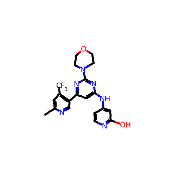 Cc1cc(C(F)(F)F)c(-c2cc(Nc3ccnc(O)c3)nc(N3CCOCC3)n2)cn1